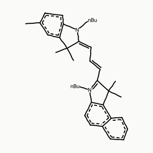 CCCCN1/C(=C/C=C/C2=[N+](CCCC)c3ccc4ccccc4c3C2(C)C)C(C)(C)c2cc(C)ccc21